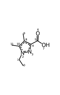 CCn1nc(C(=O)O)c(C)c1C